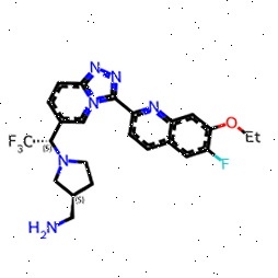 CCOc1cc2nc(-c3nnc4ccc([C@H](N5CC[C@@H](CN)C5)C(F)(F)F)cn34)ccc2cc1F